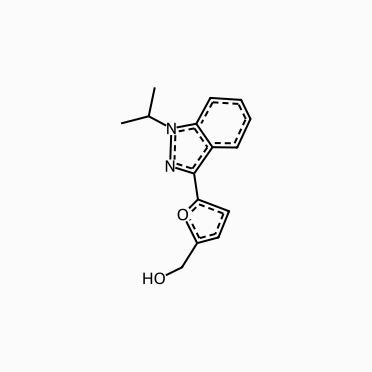 CC(C)n1nc(-c2ccc(CO)o2)c2ccccc21